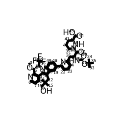 CO[C@@H](C)c1ncccc1-c1c(CC(C)(C)CO)c2cc(-c3cccc(CC(NC(=O)OC(C)(C)C)C(=O)N4CCCC(C(=O)O)N4)n3)ccc2n1CC(F)(F)F